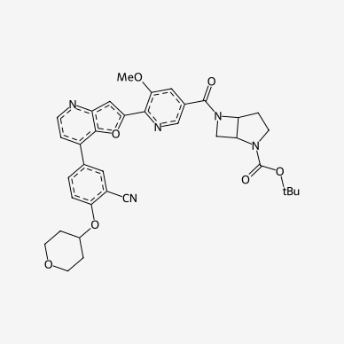 COc1cc(C(=O)N2CC3C2CCN3C(=O)OC(C)(C)C)cnc1-c1cc2nccc(-c3ccc(OC4CCOCC4)c(C#N)c3)c2o1